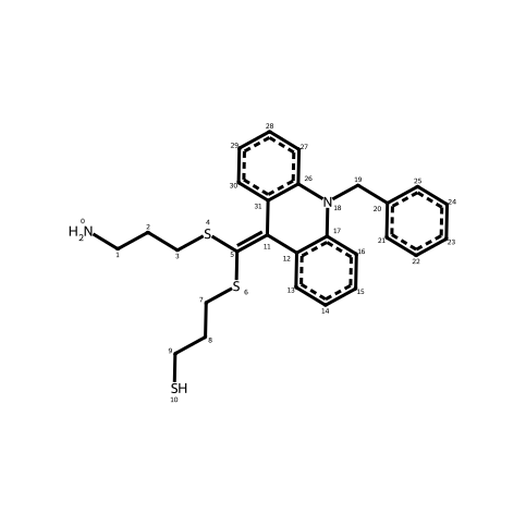 NCCCSC(SCCCS)=C1c2ccccc2N(Cc2ccccc2)c2ccccc21